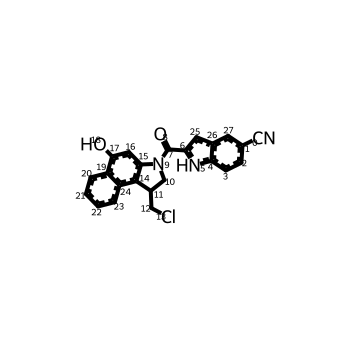 N#Cc1ccc2[nH]c(C(=O)N3CC(CCl)c4c3cc(O)c3ccccc43)cc2c1